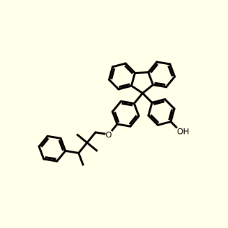 CC(c1ccccc1)C(C)(C)COc1ccc(C2(c3ccc(O)cc3)c3ccccc3-c3ccccc32)cc1